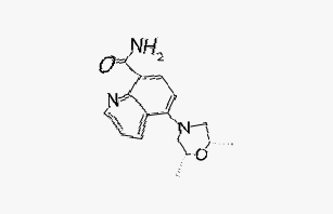 C[C@@H]1CN(c2ccc(C(N)=O)c3ncccc23)C[C@H](C)O1